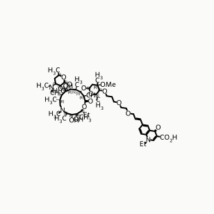 CC[C@H]1OC(=O)[C@H](C)[C@@H](O[C@H]2C[C@@](C)(OC)[C@@H](OCCCOCCOCC=Cc3ccc4c(c3)c(=O)c(C(=O)O)cn4CC)[C@H](C)O2)[C@H](C)[C@@H](O[C@@H]2O[C@H](C)C[C@H](N(C)C)[C@H]2O)[C@](C)(O)C[C@@H](C)CN(C)[C@H](C)[C@@H](O)[C@]1(C)O